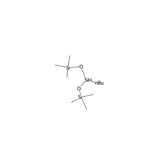 C[CH]CC[SiH](O[Si](C)(C)C)O[Si](C)(C)C